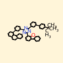 CC(C)(C)c1ccc(-c2cccc(-c3nc(-c4cccc(-c5cccc6ccc7ccccc7c56)c4)nc(-c4cccc5c4oc4ccccc45)n3)c2)cc1